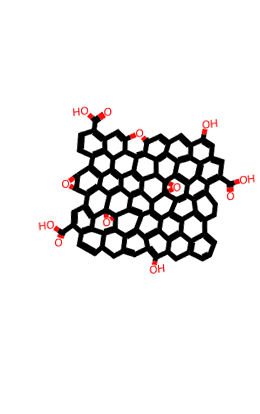 CC12C=c3cc4c(O)cc5cc(C(=O)O)c6c7c8c9c%10c%11c%12c%13c%14c%15c%16c(cc%17c%15c%12c%12c%15c%18c(cccc%18c(c8c%15%11)CC7)CC%12C=%17O)CC7C=Cc8c(C(=O)O)cc%11c%12c8C7=C%16C78OC%127c7c%12c%15c%16c%17c%18c%19c(c(c7%17)C=%148)C%13C%107OC78c7c(c3=C(C1=C%18C1C(=Cc3c(C(=O)O)ccc(c3C%161)C=%15C1OC1C=%12%11)O2)C%198)c4c5c6c79